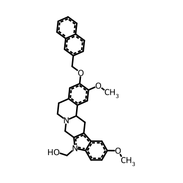 COc1ccc2c(c1)c1c(n2CO)CN2CCc3cc(OCc4ccc5ccccc5c4)c(OC)cc3C2C1